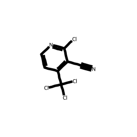 N#Cc1c(C(Cl)(Cl)Cl)ccnc1Cl